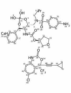 CC(C)CN(C[C@@H](OP(=O)(O)O)[C@H](Cc1ccccc1)NC(=O)O[C@H]1CCOC1)S(=O)(=O)c1ccc(N)cc1.O=C1Nc2ccc(Cl)cc2[C@@](C#CC2CC2)(C(F)(F)F)O1.[CaH2]